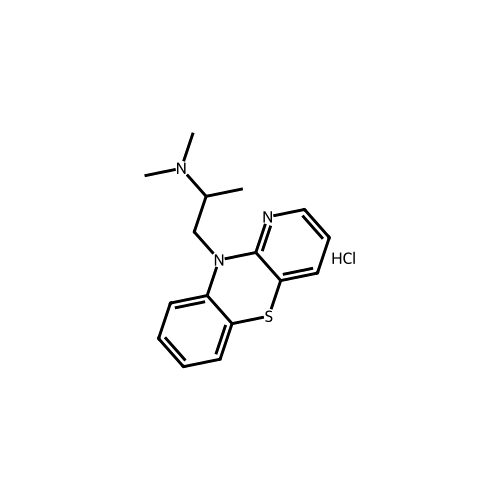 CC(CN1c2ccccc2Sc2cccnc21)N(C)C.Cl